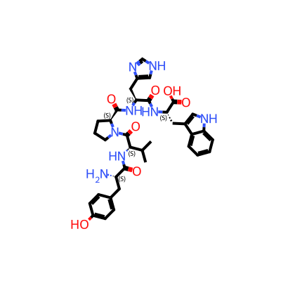 CC(C)[C@H](NC(=O)[C@@H](N)Cc1ccc(O)cc1)C(=O)N1CCC[C@H]1C(=O)N[C@@H](Cc1c[nH]cn1)C(=O)N[C@@H](Cc1c[nH]c2ccccc12)C(=O)O